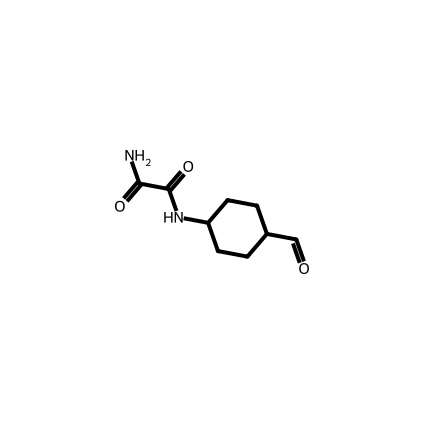 NC(=O)C(=O)NC1CCC(C=O)CC1